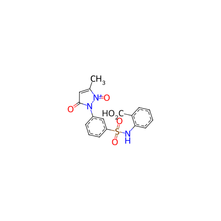 CC1=CC(=O)N(c2cccc(S(=O)(=O)Nc3ccccc3C(=O)O)c2)[N+]1=O